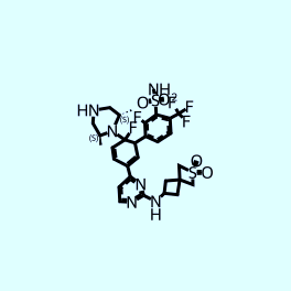 C[C@H]1CNC[C@H](C)N1C1(F)C=CC(c2ccnc(NC3CC4(C3)CS(=O)(=O)C4)n2)=CC1c1ccc(C(F)(F)F)c(S(N)(=O)=O)c1F